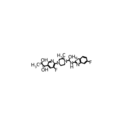 C[C@H](O)[C@@H](O)c1cnc(N2CCN(C(O)Nc3nc4cc(F)ccc4s3)[C@@H](C)C2)c(F)c1